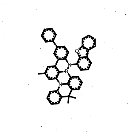 Cc1cc2c3c(c1)N1c4ccccc4C(C)(C)c4cccc(c41)B3N(c1cccc3c1oc1ccccc13)c1ccc(-c3ccccc3)cc1-2